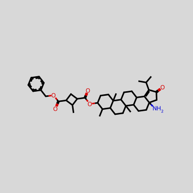 CC(C)C1=C2C3CCC4C(C)(CCC5C(C)C(OC(=O)C6CC(C(=O)OCc7ccccc7)C6C)CCC54C)C3CCC2(N)CC1=O